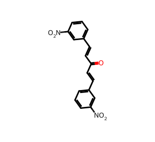 O=C(C=Cc1cccc([N+](=O)[O-])c1)C=Cc1cccc([N+](=O)[O-])c1